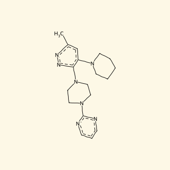 Cc1cc(N2CCCCC2)c(N2CCN(c3ncccn3)CC2)nn1